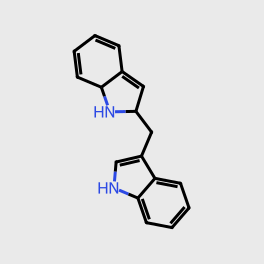 C1=CC2=CC(Cc3c[nH]c4ccccc34)NC2C=C1